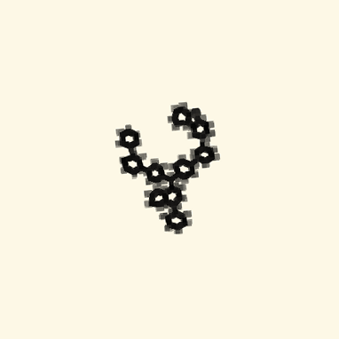 c1ccc(-c2cccc(-c3ccc(C(c4ccc(-c5cccc(-c6ccc7oc8ccccc8c7c6)c5)cc4)c4ccc(-c5ccccc5)c5ccccc45)cc3)c2)cc1